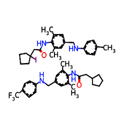 Cc1cc(CNc2ccc(C(F)(F)F)cc2)cc(C)c1NC(=O)CC1CCCC1.Cc1ccc(NCc2cc(C)c(NC(=O)CC3(I)CCCC3)c(C)c2)cc1